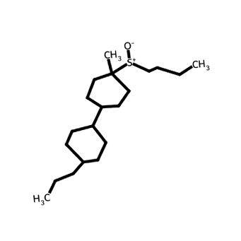 CCCC[S+]([O-])C1(C)CCC(C2CCC(CCC)CC2)CC1